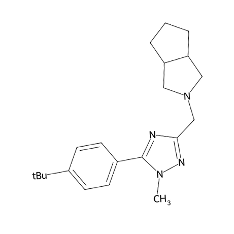 Cn1nc(CN2CC3CCCC3C2)nc1-c1ccc(C(C)(C)C)cc1